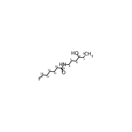 CCC(O)CCCNC(=O)CCCCCF